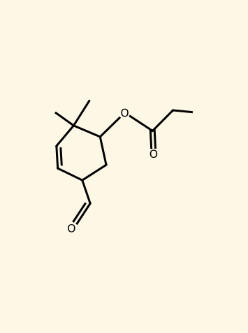 CCC(=O)OC1CC(C=O)C=CC1(C)C